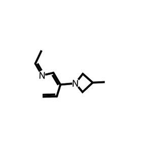 C=C/C(=C\N=C/C)N1CC(C)C1